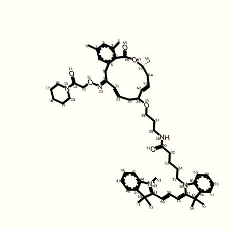 Cc1cc(C)c2c(c1)CC(=NOCC(=O)N1CCCCC1)/C=C/CC(OCCCNC(=O)CCCCN1/C(=C\C=C\C3=[N+](C)c4ccccc4C3(C)C)C(C)(C)c3ccccc31)/C=C/C[C@@H](C)OC2=O